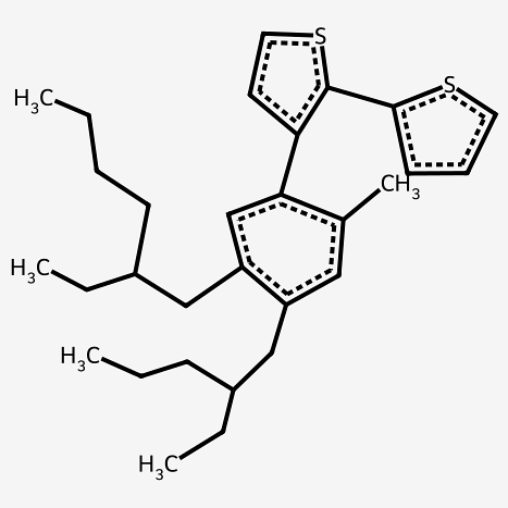 CCCCC(CC)Cc1cc(-c2ccsc2-c2cccs2)c(C)cc1CC(CC)CCC